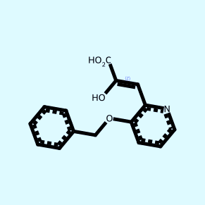 O=C(O)/C(O)=C/c1ncccc1OCc1ccccc1